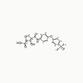 O=C(Nc1ccc(Oc2ccc(C(F)(F)F)cc2)cc1)C1=C(O)N(C(=O)O)OC1